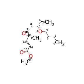 CCCCO[C@@H](CC)C[C@H]1O[C@]1(C)/C=C/C(=O)OC